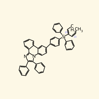 C/C=C\C(=C/C)[Si](c1ccccc1)(c1ccccc1)c1ccc(-c2ccc3c(c2)c2ccccc2c2nc(-c4ccccc4)c(-c4ccccc4)n32)cc1